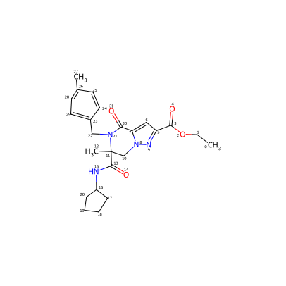 CCOC(=O)c1cc2n(n1)CC(C)(C(=O)NC1CCCC1)N(Cc1ccc(C)cc1)C2=O